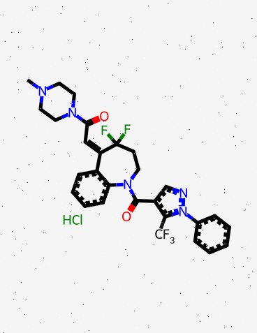 CN1CCN(C(=O)C=C2c3ccccc3N(C(=O)c3cnn(-c4ccccc4)c3C(F)(F)F)CCC2(F)F)CC1.Cl